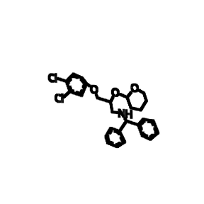 Clc1ccc(OCC(CNC(c2ccccc2)c2ccccc2)OC2CCCCO2)cc1Cl